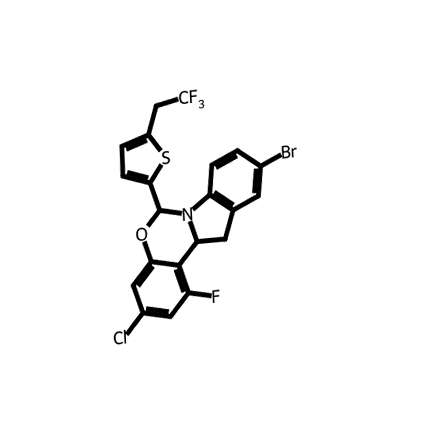 Fc1cc(Cl)cc2c1C1Cc3cc(Br)ccc3N1C(c1ccc(CC(F)(F)F)s1)O2